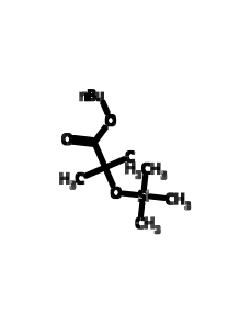 CCCCOC(=O)C(C)(C)O[Si](C)(C)C